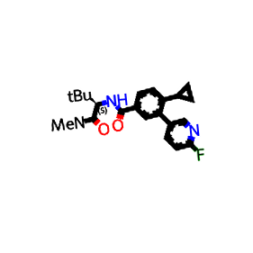 CNC(=O)[C@@H](NC(=O)c1ccc(C2CC2)c(-c2ccc(F)nc2)c1)C(C)(C)C